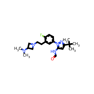 CN(C)C1CN(CCc2cc(-n3nc(C(C)(C)C)cc3NC=O)ccc2F)C1